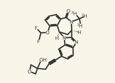 [2H]C([2H])([2H])N1C(=O)c2cccc(OC(F)F)c2[C@H]2C[C@@H]1c1nc3ccc(C#CCC4(O)COC4)cc3n12